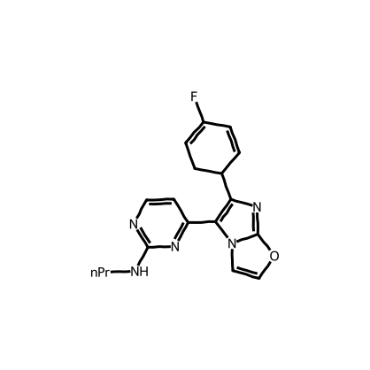 CCCNc1nccc(-c2c(C3C=CC(F)=CC3)nc3occn23)n1